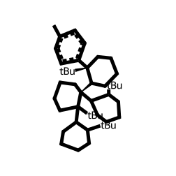 Cc1ccc([C@]2(C(C)(C)C)CCCC[C]2[C@]2(C3CCCCC3C(C)(C)C)CCCCC2(C2CCCCC2C(C)(C)C)C(C)(C)C)cc1